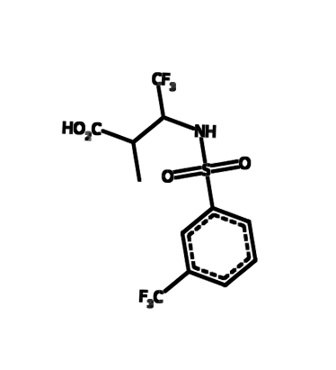 CC(C(=O)O)C(NS(=O)(=O)c1cccc(C(F)(F)F)c1)C(F)(F)F